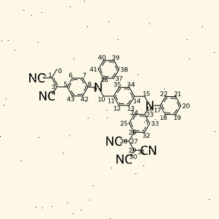 C/C(C#N)=C(/C#N)c1ccc(N(Cc2ccc(CN(c3ccccc3)c3ccc(C(C#N)C(C#N)C#N)cc3)cc2)c2ccccc2)cc1